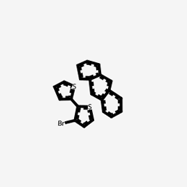 Brc1ccsc1-c1cccs1.c1ccc2cc3ccccc3cc2c1